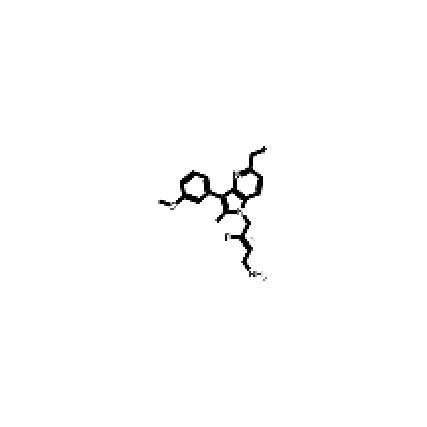 CSc1cccc(-c2c(C)n(C/C(F)=C/CN)c3ccc(CF)nc23)c1